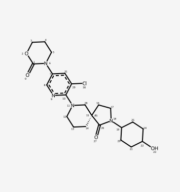 O=C1OCCCN1c1cnc(N2CCC[C@@]3(CCN(C4CCC(O)CC4)C3=O)C2)c(Cl)c1